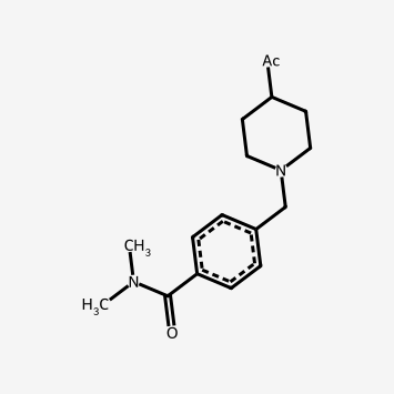 CC(=O)C1CCN(Cc2ccc(C(=O)N(C)C)cc2)CC1